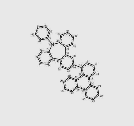 c1ccc(N2c3ccccc3-c3ccc(-c4cccc5c6ccccc6c6ccccc6c45)cc3-c3ccccc32)cc1